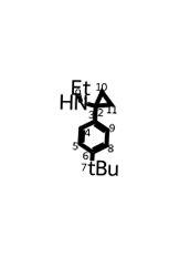 CCNC1(c2ccc(C(C)(C)C)cc2)CC1